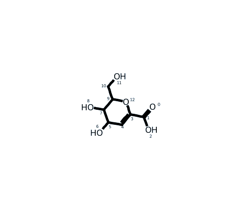 O=C(O)C1=CC(O)C(O)C(CO)O1